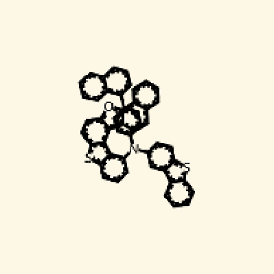 c1ccc2c(-c3ccc(N(c4ccc5sc6ccccc6c5c4)c4cccc5sc6ccc7oc8c9ccccc9ccc8c7c6c45)cc3)cccc2c1